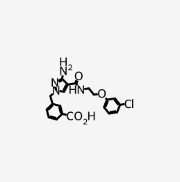 Nc1nn(Cc2cccc(C(=O)O)c2)cc1C(=O)NCCOc1cccc(Cl)c1